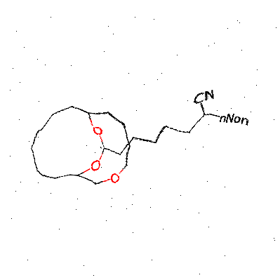 [CH2]CCCCCCCCC(C#N)CCCCC[C]1OC2CCCCCCC(COCCCC2)O1